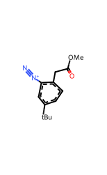 COC(=O)Cc1ccc(C(C)(C)C)cc1[N+]#N